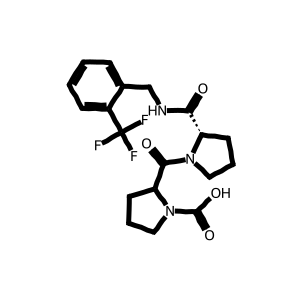 O=C(NCc1ccccc1C(F)(F)F)[C@@H]1CCCN1C(=O)C1CCCN1C(=O)O